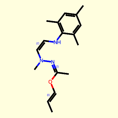 C/C=C/O/C(C)=N\N(C)/C=C\Nc1c(C)cc(C)cc1C